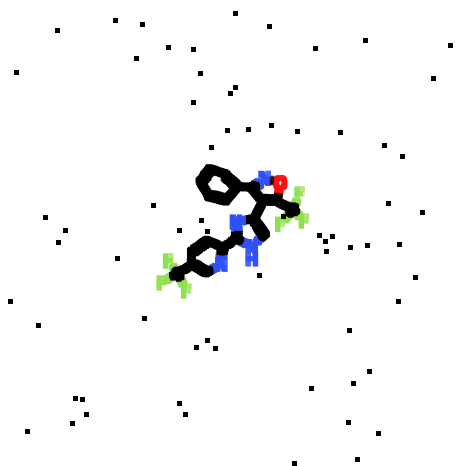 FC(F)(F)c1ccc(-c2nc(-c3c(-c4ccccc4)noc3C(F)(F)F)c[nH]2)nc1